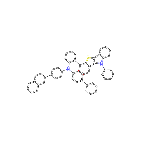 c1ccc(-c2ccc(N(c3ccc(-c4ccc5ccccc5c4)cc3)c3ccccc3-c3cccc4c3sc3c5ccccc5n(-c5ccccc5)c43)cc2)cc1